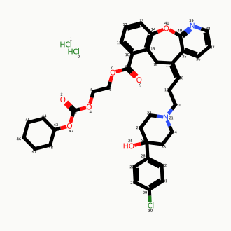 Cl.Cl.O=C(OCCOC(=O)c1cccc2c1CC(=CCCN1CCC(O)(c3ccc(Cl)cc3)CC1)c1cccnc1O2)OC1CCCCC1